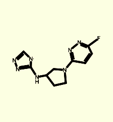 Fc1ccc(N2CCC(NC3=NN=C[N]3)C2)nn1